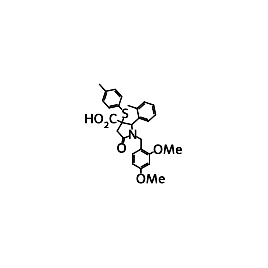 COc1ccc(CN2C(=O)CC(Sc3ccc(C)cc3)(C(=O)O)C2c2ccccc2C)c(OC)c1